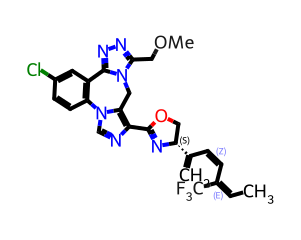 C=C(/C=C\C(=C/C)C(F)(F)F)[C@H]1COC(c2ncn3c2Cn2c(COC)nnc2-c2cc(Cl)ccc2-3)=N1